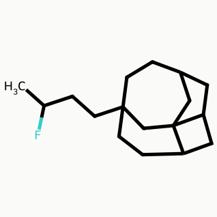 CC(F)CCC12CCC3CC4CC(CC1)C4(C3)C2